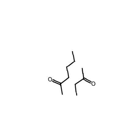 CCC(C)=O.CCCCC(C)=O